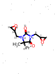 CC(C)C1(C)C(=O)N(CC2CO2)C(=O)N1CC1CO1